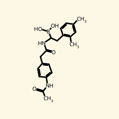 CC(=O)Nc1ccc(CC(=O)NC(Cc2ccc(C)cc2C)B(O)O)cc1